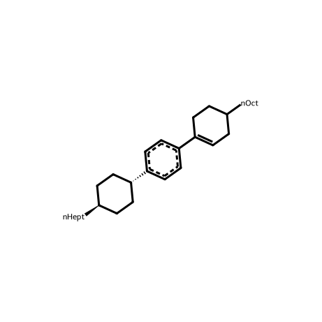 CCCCCCCCC1CC=C(c2ccc([C@H]3CC[C@H](CCCCCCC)CC3)cc2)CC1